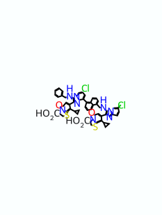 O=C(O)C1CSc2c(C3CC3)c(-c3nc4ccc(Cl)cn4c3NCc3cccc4c(-c5cc(Cl)cn6c(NCc7ccccc7)c(-c7cc(=O)n8c(c7C7CC7)SCC8C(=O)O)nc56)cccc34)cc(=O)n21